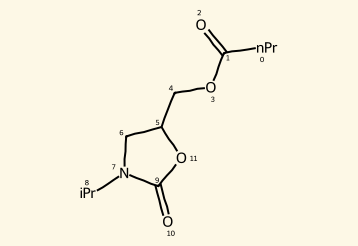 CCCC(=O)OCC1CN(C(C)C)C(=O)O1